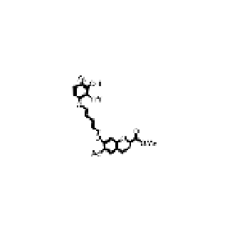 CCCc1c(OCCCCCOc2cc3c(cc2C(C)=O)CCC(C(=O)OC)O3)ccc(C(C)=O)c1O